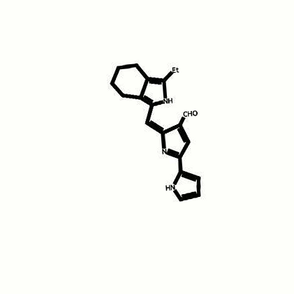 CCc1[nH]c(/C=C2/N=C(c3ccc[nH]3)C=C2C=O)c2c1CCCC2